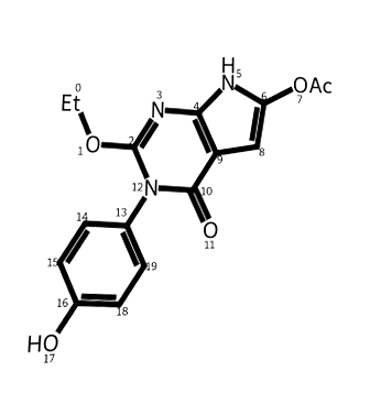 CCOc1nc2[nH]c(OC(C)=O)cc2c(=O)n1-c1ccc(O)cc1